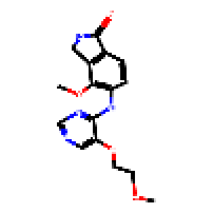 COCCOc1cncnc1Nc1ccc2c(c1OC)CNC2=O